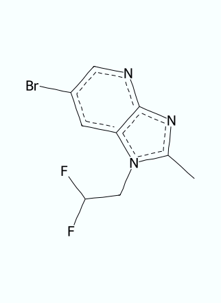 Cc1nc2ncc(Br)cc2n1CC(F)F